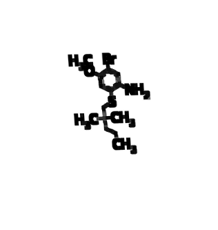 CCCC(C)(C)CSc1cc(OC)c(Br)cc1N